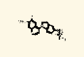 COc1cc2nccc(N3CCc4cc(NS(N)(=O)=O)ccc43)c2cc1F